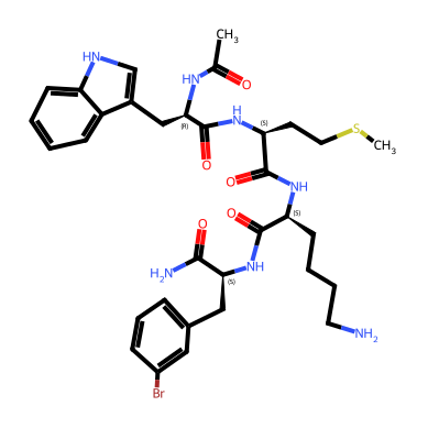 CSCC[C@H](NC(=O)[C@@H](Cc1c[nH]c2ccccc12)NC(C)=O)C(=O)N[C@@H](CCCCN)C(=O)N[C@@H](Cc1cccc(Br)c1)C(N)=O